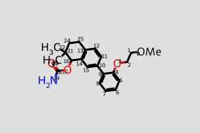 COCCOc1ccccc1-c1ccc2c(c1)C(OC(N)=O)C(C)(C)CC2